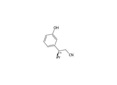 CC(C)[C@H](CC#N)c1cccc(O)c1